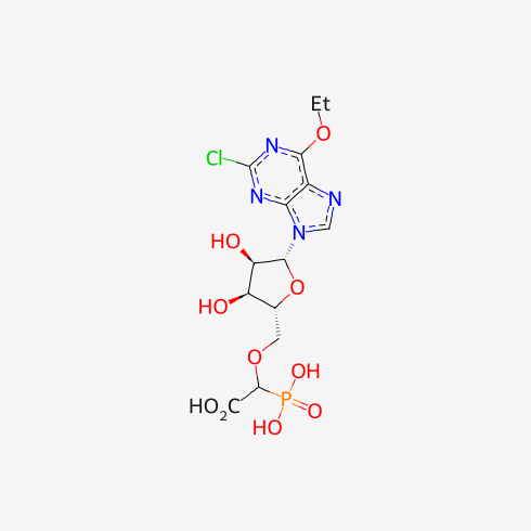 CCOc1nc(Cl)nc2c1ncn2[C@@H]1O[C@H](COC(C(=O)O)P(=O)(O)O)[C@@H](O)[C@H]1O